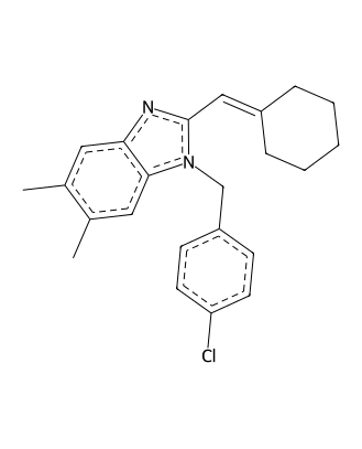 Cc1cc2nc(C=C3CCCCC3)n(Cc3ccc(Cl)cc3)c2cc1C